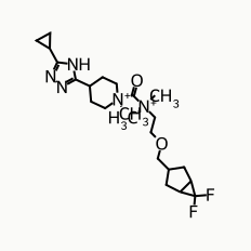 C[N+](C)(CCOCC1CC2C(C1)C2(F)F)C(=O)[N+]1(C)CCC(c2nnc(C3CC3)[nH]2)CC1